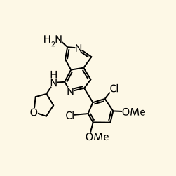 COc1cc(OC)c(Cl)c(-c2cc3cnc(N)cc3c(NC3CCOC3)n2)c1Cl